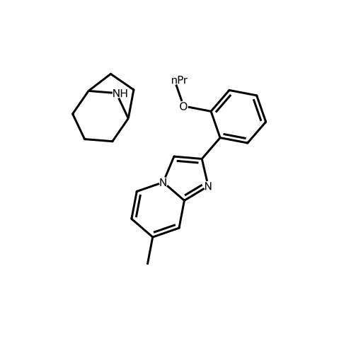 C1CC2CCC(C1)N2.CCCOc1ccccc1-c1cn2ccc(C)cc2n1